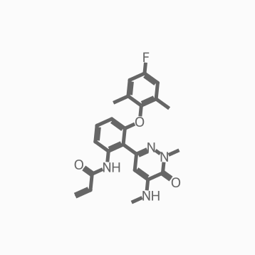 C=CC(=O)Nc1cccc(Oc2c(C)cc(F)cc2C)c1-c1cc(NC)c(=O)n(C)n1